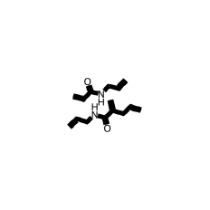 C=CCNC(=O)C(=C)CC=C.C=CCNC(=O)C=C